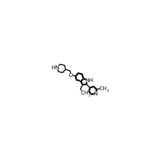 CCc1c(-c2ccnc(C)c2)[nH]c2ccc(OCC3CCNCC3)cc12